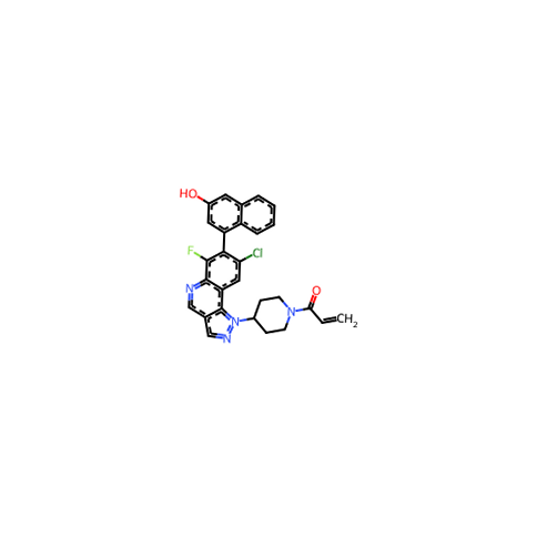 C=CC(=O)N1CCC(n2ncc3cnc4c(F)c(-c5cc(O)cc6ccccc56)c(Cl)cc4c32)CC1